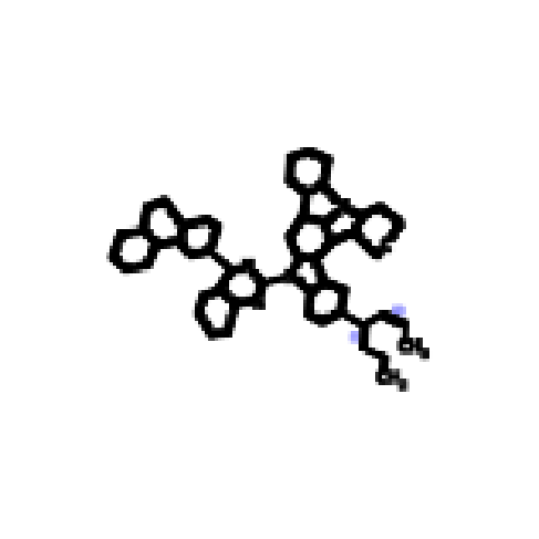 C=C/C=C(\C=C/C)c1ccc2c(c1)c1c3c4ccccc4n4c5ccccc5c(cc1n2-c1nc(-c2ccc5ccc6ccccc6c5c2)c2ccccc2n1)c34